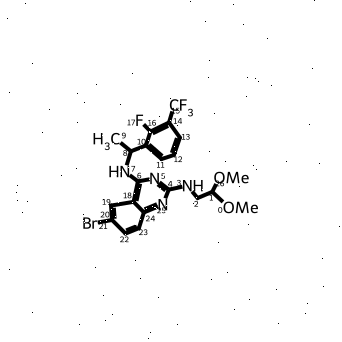 COC(CNc1nc(NC(C)c2cccc(C(F)(F)F)c2F)c2cc(Br)ccc2n1)OC